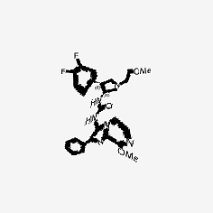 COCCN1C[C@@H](NC(=O)Nc2c(-c3ccccc3)nc3c(OC)nccn23)[C@H](c2ccc(F)c(F)c2)C1